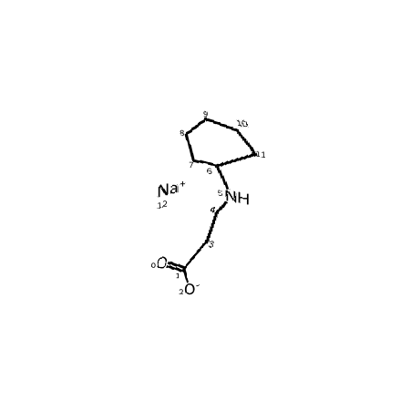 O=C([O-])CCNC1CCCCC1.[Na+]